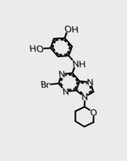 Oc1cc(O)cc(Nc2nc(Br)nc3c2ncn3C2CCCCO2)c1